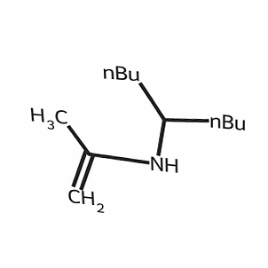 C=C(C)NC(CCCC)CCCC